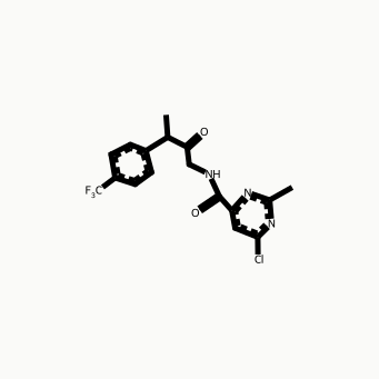 Cc1nc(Cl)cc(C(=O)NCC(=O)C(C)c2ccc(C(F)(F)F)cc2)n1